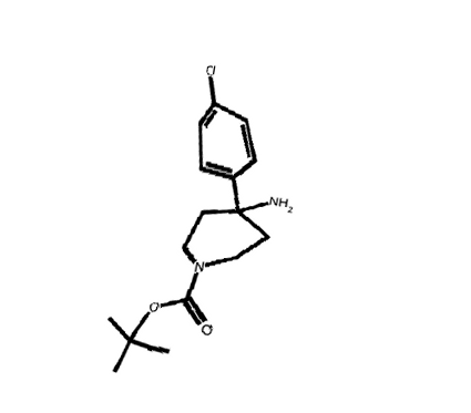 CC(C)(C)OC(=O)N1CCC(N)(c2ccc(Cl)cc2)CC1